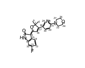 CC1(C)O/C(=C2\C(=O)Nc3cc(F)ccc32)C=C1c1ccc(N2CCOCC2)nc1